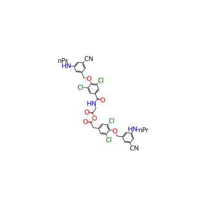 CCCNc1cc(C#N)cc(COc2c(Cl)cc(CC(=O)OC(=O)CNC(=O)c3cc(Cl)c(OCc4cc(C#N)cc(NCCC)c4)c(Cl)c3)cc2Cl)c1